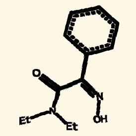 CCN(CC)C(=O)C(=NO)c1ccccc1